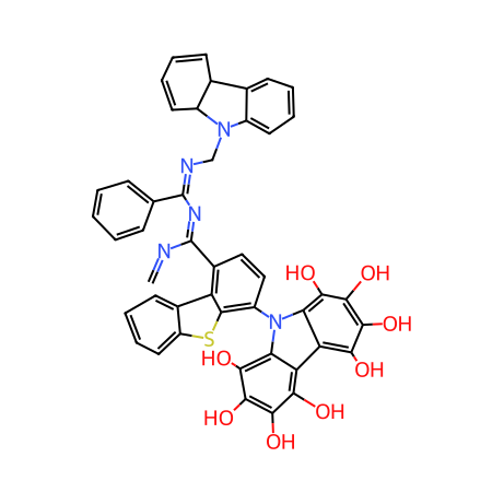 C=N/C(=N\C(=N/CN1c2ccccc2C2C=CC=CC21)c1ccccc1)c1ccc(-n2c3c(O)c(O)c(O)c(O)c3c3c(O)c(O)c(O)c(O)c32)c2sc3ccccc3c12